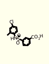 Cc1cc(Cl)ccc1NS(=O)(=O)c1cccc(C(=O)O)c1